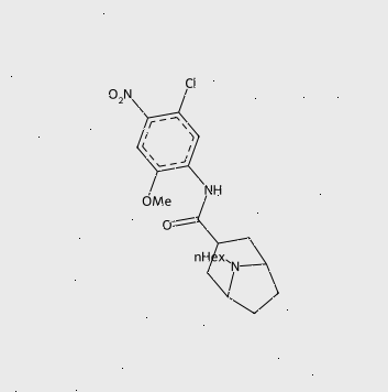 CCCCCCN1C2CCC1CC(C(=O)Nc1cc(Cl)c([N+](=O)[O-])cc1OC)C2